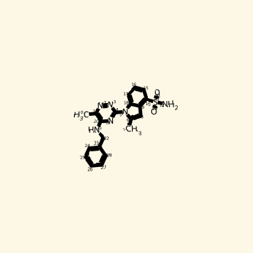 Cc1nnc(-n2c(C)cc3c(S(N)(=O)=O)cccc32)nc1NCc1ccccc1